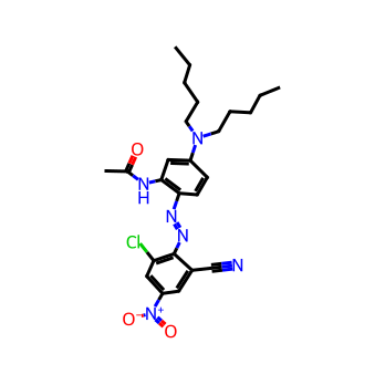 CCCCCN(CCCCC)c1ccc(N=Nc2c(Cl)cc([N+](=O)[O-])cc2C#N)c(NC(C)=O)c1